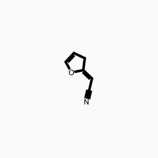 N#CC=C1CC=CO1